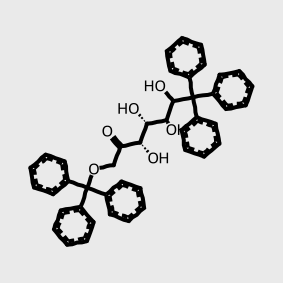 O=C(COC(c1ccccc1)(c1ccccc1)c1ccccc1)[C@@H](O)[C@H](O)[C@H](O)C(O)C(c1ccccc1)(c1ccccc1)c1ccccc1